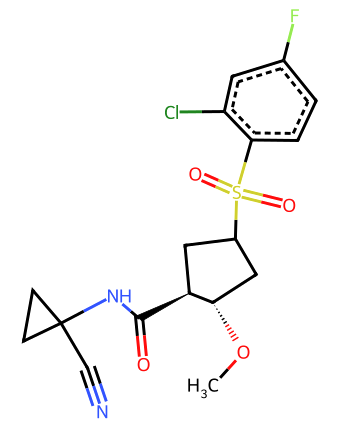 CO[C@H]1CC(S(=O)(=O)c2ccc(F)cc2Cl)C[C@@H]1C(=O)NC1(C#N)CC1